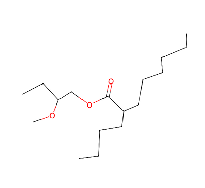 CCCCCCC(CCCC)C(=O)OCC(CC)OC